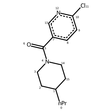 CCCC1CCN(C(=O)c2ccc(Cl)nc2)CC1